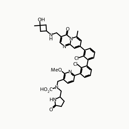 COc1nc(-c2cccc(-c3cccc(-c4cc(C)n5c(=O)c(CNC6CC(C)(O)C6)cnc5c4)c3Cl)c2Cl)ccc1CN(CC1CCC(=O)N1)C(=O)O